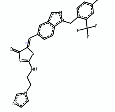 O=C1N=C(NCCn2ccnc2)S/C1=C\c1ccc2c(cnn2Cc2ccc(Cl)cc2C(F)(F)F)c1